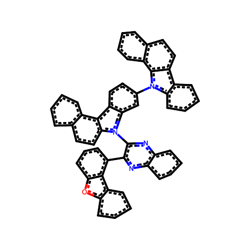 c1ccc2c(c1)ccc1c2c2ccc(-n3c4ccccc4c4ccc5ccccc5c43)cc2n1-c1nc2ccccc2nc1-c1cccc2oc3ccccc3c12